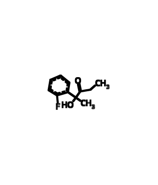 CCC(=O)C(C)(O)c1ccccc1F